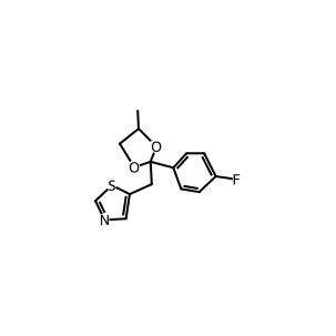 CC1COC(Cc2cncs2)(c2ccc(F)cc2)O1